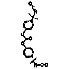 CC(C)(N=C=O)c1ccc(OC(=O)Oc2ccc(C(C)(C)N=C=O)cc2)cc1